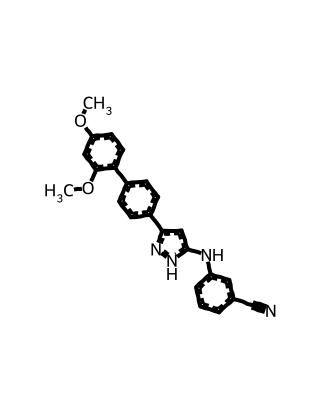 COc1ccc(-c2ccc(-c3cc(Nc4cccc(C#N)c4)[nH]n3)cc2)c(OC)c1